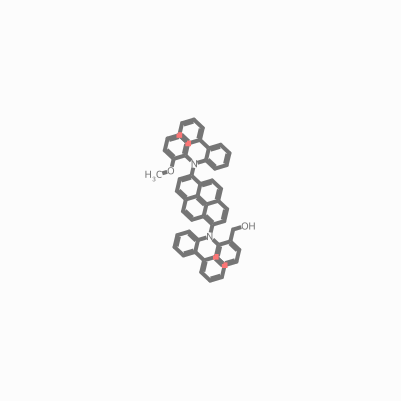 COc1ccccc1N(c1ccccc1-c1ccccc1)c1ccc2ccc3c(N(c4ccccc4CO)c4ccccc4-c4ccccc4)ccc4ccc1c2c43